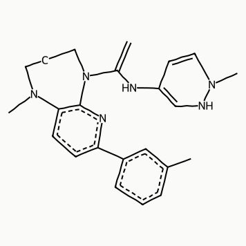 C=C(NC1=CNN(C)C=C1)N1CCCN(C)c2ccc(-c3cccc(C)c3)nc21